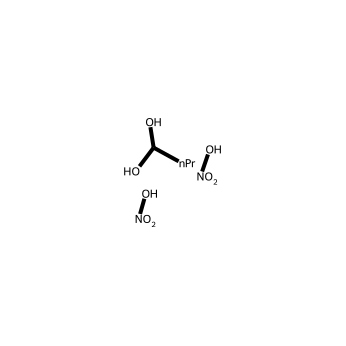 CCCC(O)O.O=[N+]([O-])O.O=[N+]([O-])O